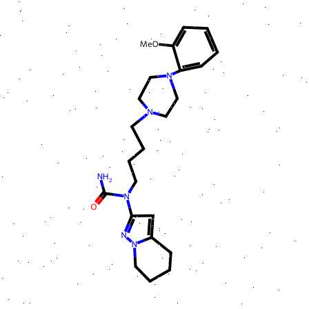 COc1ccccc1N1CCN(CCCCN(C(N)=O)c2cc3n(n2)CCCC3)CC1